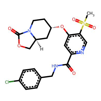 CS(=O)(=O)c1cnc(C(=O)NCc2ccc(Cl)cc2)cc1O[C@H]1CCN2C(=O)OC[C@@H]2C1